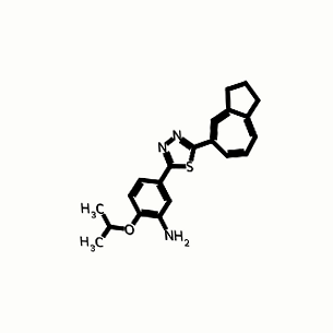 CC(C)Oc1ccc(-c2nnc(C3=C=C4CCCC4=CC=C3)s2)cc1N